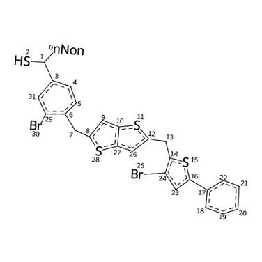 CCCCCCCCCC(S)c1ccc(Cc2cc3sc(Cc4sc(-c5ccccc5)cc4Br)cc3s2)c(Br)c1